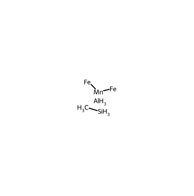 C[SiH3].[AlH3].[Fe][Mn][Fe]